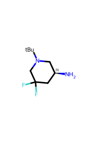 CC(C)(C)N1C[C@@H](N)CC(F)(F)C1